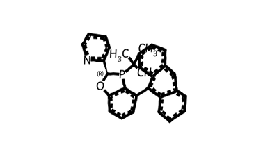 CC(C)(C)P1c2c(cccc2-c2c3ccccc3cc3ccccc23)O[C@H]1c1ccccn1